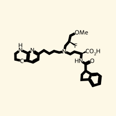 COC[C@@H](F)CN(CCCCc1ccc2c(n1)NCCC2)CC[C@H](NC(=O)C1CCc2ccccc21)C(=O)O